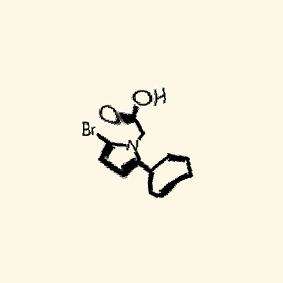 O=C(O)Cn1c(Br)ccc1-c1ccccc1